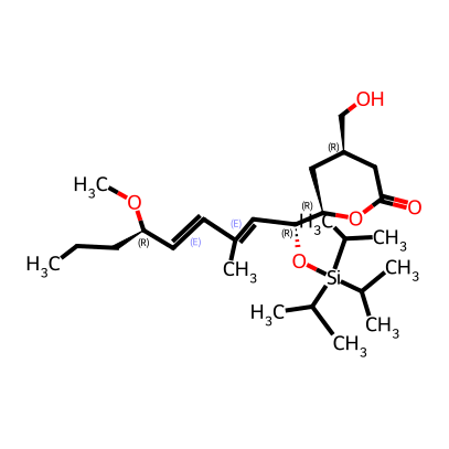 CCC[C@H](/C=C/C(C)=C/[C@@H](O[Si](C(C)C)(C(C)C)C(C)C)[C@H]1C[C@@H](CO)CC(=O)O1)OC